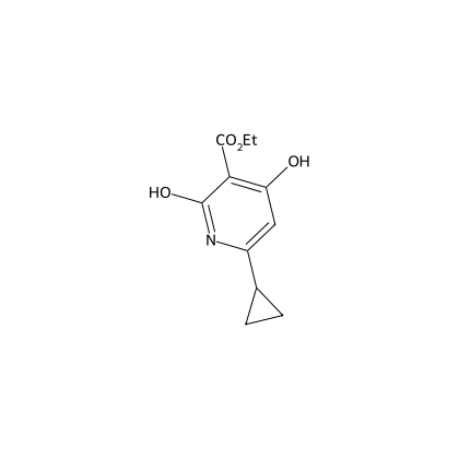 CCOC(=O)c1c(O)cc(C2CC2)nc1O